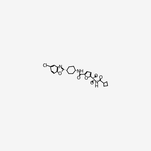 O=C(N[C@H]1CC[C@@H](c2nc3cc(Cl)ccc3o2)CC1)c1ccc(S(=O)(=O)NC(=O)C2CCC2)o1